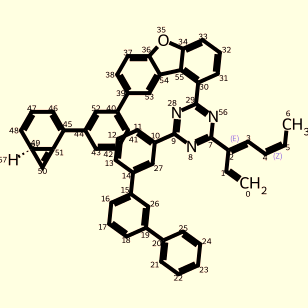 C=C/C(=C\C=C/C)c1nc(-c2cccc(-c3cccc(-c4ccccc4)c3)c2)nc(-c2cccc3oc4ccc(-c5cccc(C6=CC=C[C@@H]7C=C67)c5)cc4c23)n1